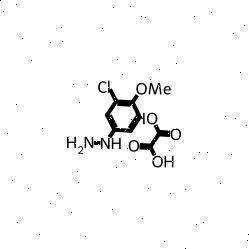 COc1ccc(NN)cc1Cl.O=C(O)C(=O)O